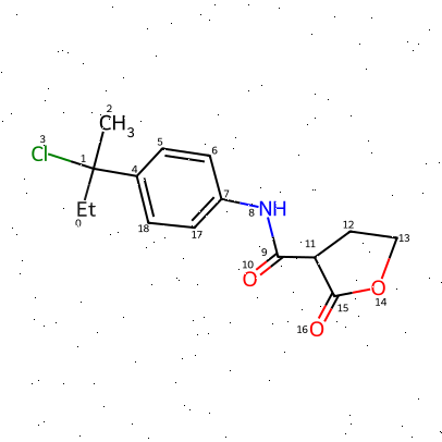 CCC(C)(Cl)c1ccc(NC(=O)C2CCOC2=O)cc1